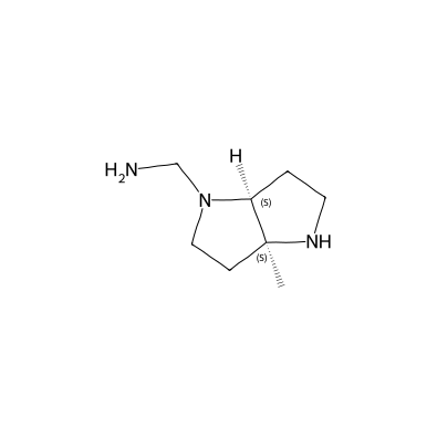 C[C@]12CCN(CN)[C@H]1CCN2